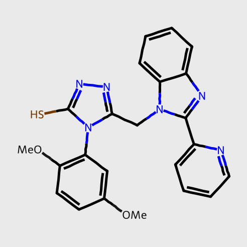 COc1ccc(OC)c(-n2c(S)nnc2Cn2c(-c3ccccn3)nc3ccccc32)c1